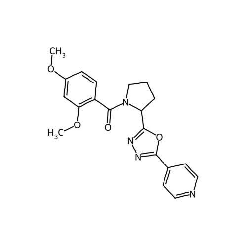 COc1ccc(C(=O)N2CCCC2c2nnc(-c3ccncc3)o2)c(OC)c1